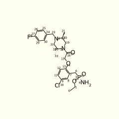 CCOP(N)(=O)Cc1cc(Cl)ccc1OCC(=O)N1C[C@H](C)N(Cc2ccc(F)cc2)C[C@H]1C